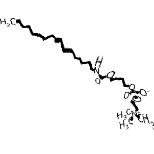 CCCCCCCCC=CCCCCCCCNC(=O)OCCCOP(=O)([O-])OCC[N+](C)(C)C